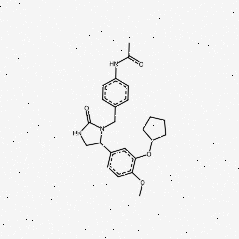 COc1ccc(C2CNC(=O)N2Cc2ccc(NC(C)=O)cc2)cc1OC1CCCC1